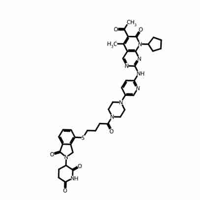 CC(=O)c1c(C)c2cnc(Nc3ccc(N4CCN(C(=O)CCCSc5cccc6c5CN(C5CCC(=O)NC5=O)C6=O)CC4)cn3)nc2n(C2CCCC2)c1=O